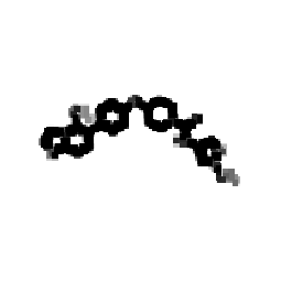 Cc1c(-c2ccc(OC3CCN(C(=O)Nc4cnn(C)c4)CC3)cc2)ccc2nccn12